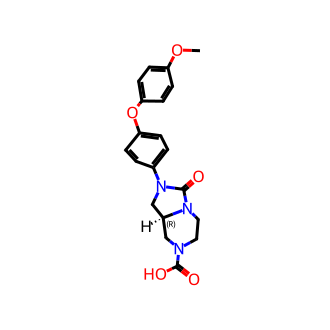 COc1ccc(Oc2ccc(N3C[C@@H]4CN(C(=O)O)CCN4C3=O)cc2)cc1